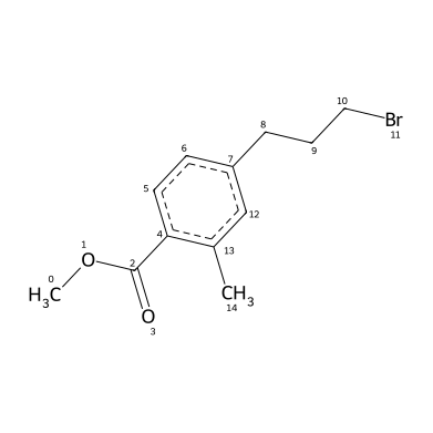 COC(=O)c1ccc(CCCBr)cc1C